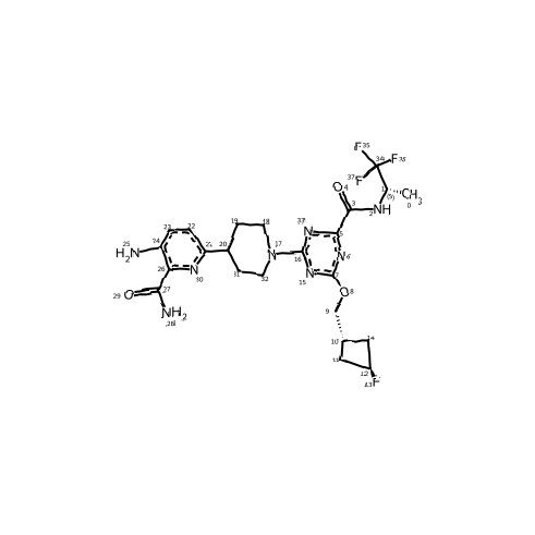 C[C@H](NC(=O)c1nc(OC[C@H]2C[C@H](F)C2)nc(N2CCC(c3ccc(N)c(C(N)=O)n3)CC2)n1)C(F)(F)F